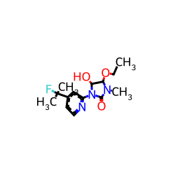 CCOC1C(O)N(c2cc(C(C)(C)F)ccn2)C(=O)N1C